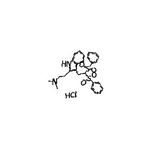 CN(C)CCc1[nH]c2ccccc2c1CC(S(=O)(=O)c1ccccc1)S(=O)(=O)c1ccccc1.Cl